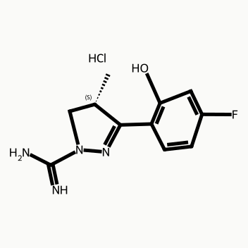 C[C@H]1CN(C(=N)N)N=C1c1ccc(F)cc1O.Cl